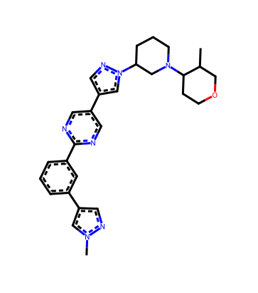 CC1COCCC1N1CCCC(n2cc(-c3cnc(-c4cccc(-c5cnn(C)c5)c4)nc3)cn2)C1